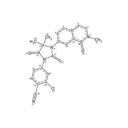 Cn1ccc2ccc(N3C(=S)N(c4ccc(C#N)c(Cl)c4)C(=O)C3(C)C)cc2c1=O